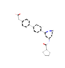 O=C(O)Cc1ccc(-c2ccc(-c3cc(NC(=O)C4CCCC4)ccn3)cc2)cc1